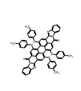 Cc1ccc(Oc2cc3c(=O)n4c5ccccc5nc4c4cc(Oc5ccc(C)cc5)c5c6c(Oc7ccc(C)cc7)cc7c(=O)n8c9ccccc9nc8c8cc(Oc9ccc(C)cc9)c(c2c5c34)c6c78)cc1